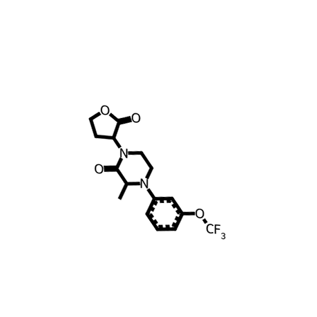 CC1C(=O)N(C2CCOC2=O)CCN1c1cccc(OC(F)(F)F)c1